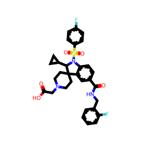 O=C(O)CN1CCC2(CC1)c1cc(C(=O)NCc3ccccc3F)ccc1N(S(=O)(=O)c1ccc(F)cc1)C2C1CC1